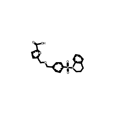 O=C(O)c1ccc(COCc2ccc(S(=O)(=O)N3CCCc4ccccc43)cc2)s1